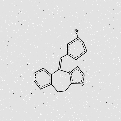 Brc1cccc(C=C2c3ccccc3CCc3sccc32)c1